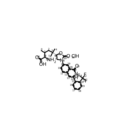 CC(CC(C)(C)[C@H]1CN(c2ccc3cc(-c4ccccc4C(F)(F)F)[nH]c(=O)c3c2)C(=O)O1)C(N)C(=O)O.Cl